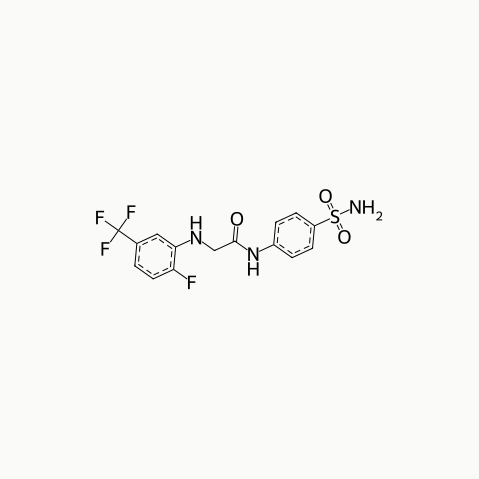 NS(=O)(=O)c1ccc(NC(=O)CNc2cc(C(F)(F)F)ccc2F)cc1